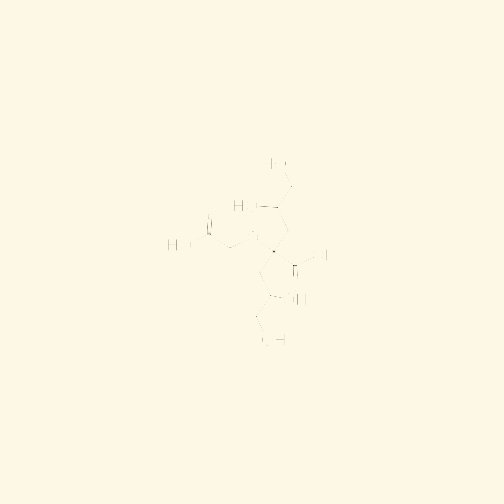 OCC(O)CC(CC(O)CO)(OCC(O)=S)C(O)=S